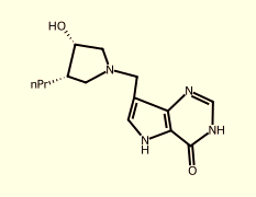 CCC[C@H]1CN(Cc2c[nH]c3c(=O)[nH]cnc23)C[C@H]1O